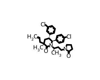 C=CC[C@@]1(C)C[C@H](c2cccc(Cl)c2)[C@@H](c2ccc(Cl)cc2)N([C@@H](C)CCN2CCCC2=O)C1=O